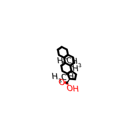 C[C@]12CC[C@H]3[C@@H](CCC4CCCC[C@@]43C)[C@@H]1CC[C@H]2C(=O)O